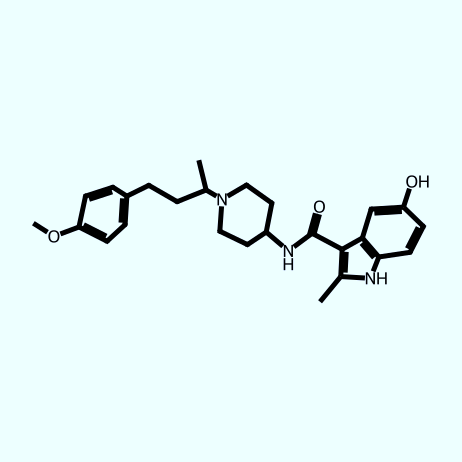 COc1ccc(CCC(C)N2CCC(NC(=O)c3c(C)[nH]c4ccc(O)cc34)CC2)cc1